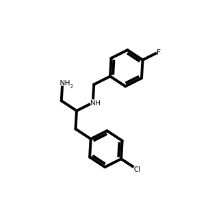 NCC(Cc1ccc(Cl)cc1)NCc1ccc(F)cc1